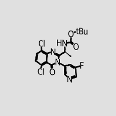 C[C@H](NC(=O)OC(C)(C)C)c1nc2c(Cl)ccc(Cl)c2c(=O)n1-c1cncc(F)c1